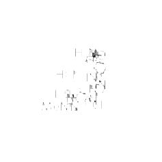 CNc1nc2cc(N(C)c3ccnc(Nc4cccc(S(N)(=O)=O)c4)n3)ccc2n1C.Cl